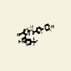 CC(Nc1ncc(C#N)c(-c2c[nH]c3ncc(C(F)(F)F)cc23)n1)c1ccc(N2CCN[C@H](C)C2)nc1